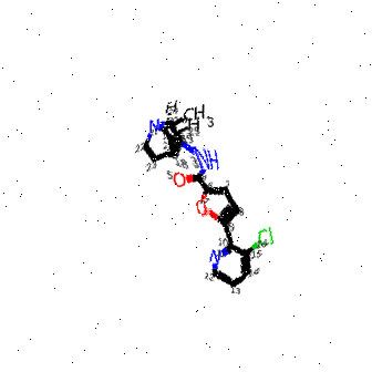 C[C@H]1[C@H](NC(=O)c2ccc(-c3ncccc3Cl)o2)C2CCN1CC2